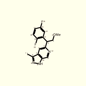 COCC(c1cc2c(I)n[nH]c2cn1)c1cc(F)ccc1F